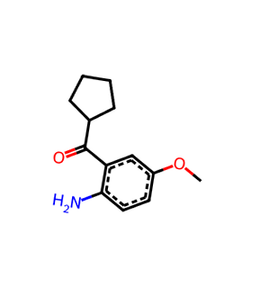 COc1ccc(N)c(C(=O)C2CCCC2)c1